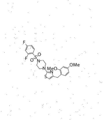 COc1ccc(Cc2csc(N3CCN(S(=O)(=O)c4ccc(F)cc4F)CC3)n2)c(OC)c1